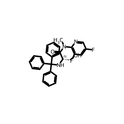 CN(C(=O)[C@H](CO)NC(c1ccccc1)(c1ccccc1)c1ccccc1)c1ncc(F)cc1F